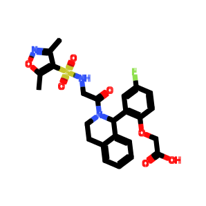 Cc1noc(C)c1S(=O)(=O)NCC(=O)N1CCc2ccccc2C1c1cc(F)ccc1OCC(=O)O